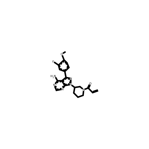 C=CC(=O)N1CCCC(n2nc(-c3ccc(OC)c(F)c3)c3c(N)ncnc32)C1